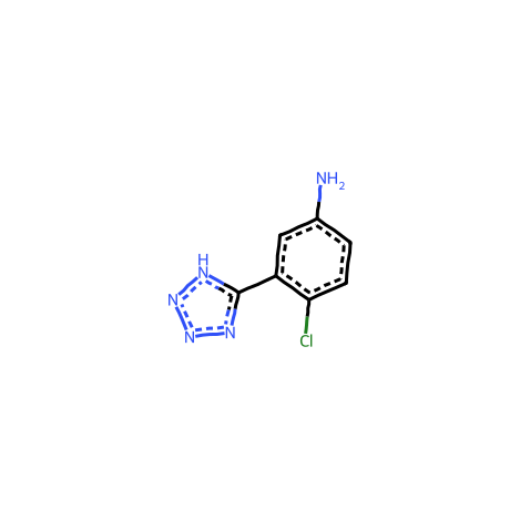 Nc1ccc(Cl)c(-c2nnn[nH]2)c1